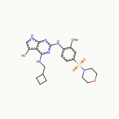 COc1cc(S(=O)(=O)N2CCOCC2)ccc1Nc1nc(NCC2CCC2)c2c(C#N)c[nH]c2n1